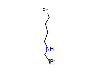 CC(C)CCCCNCC(C)C